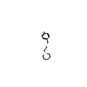 Cc1ccc(CNCCN2CCCCC2)cc1